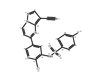 N#Cc1cnn2ccc(-c3cnc(Cl)c(NS(=O)(=O)c4ccc(F)cc4)c3)nc12